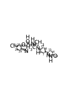 CC(C)(CNc1ccc(C2=NNC(=O)CC2)cc1)NC[C@H](O)COc1cc(Cl)ccc1C#N